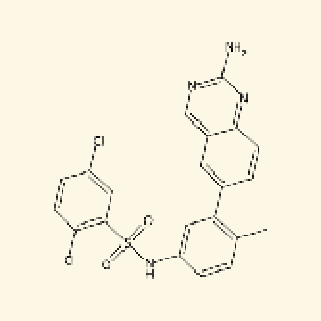 Cc1ccc(NS(=O)(=O)c2cc(Cl)ccc2Cl)cc1-c1ccc2nc(N)ncc2c1